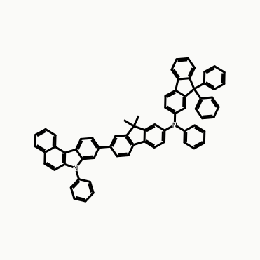 CC1(C)c2cc(-c3ccc4c5c6ccccc6ccc5n(-c5ccccc5)c4c3)ccc2-c2ccc(N(c3ccccc3)c3ccc4c(c3)C(c3ccccc3)(c3ccccc3)c3ccccc3-4)cc21